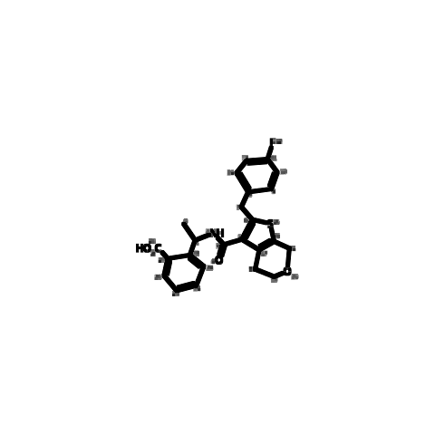 CC(NC(=O)c1c(Cc2ccc(F)cc2)sc2c1CCOC2)c1ccccc1C(=O)O